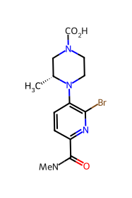 CNC(=O)c1ccc(N2CCN(C(=O)O)C[C@H]2C)c(Br)n1